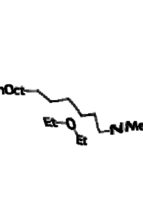 CCCCCCCCCCCCCCNC.CCOCC